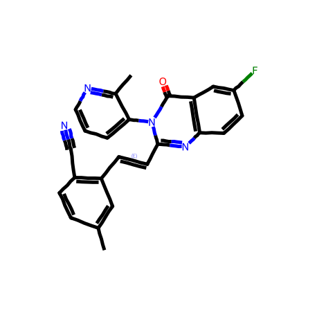 Cc1ccc(C#N)c(/C=C/c2nc3ccc(F)cc3c(=O)n2-c2cccnc2C)c1